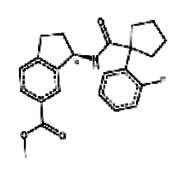 COC(=O)c1ccc2c(c1)[C@H](NC(=O)C1(c3ccccc3F)CCCC1)CC2